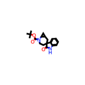 CC(C)(C)OC(=O)N1CCC2(CC3CC31)C(=O)Nc1ccccc12